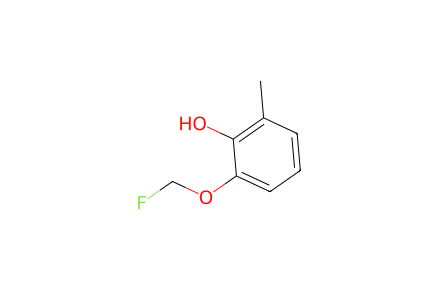 Cc1cccc(OCF)c1O